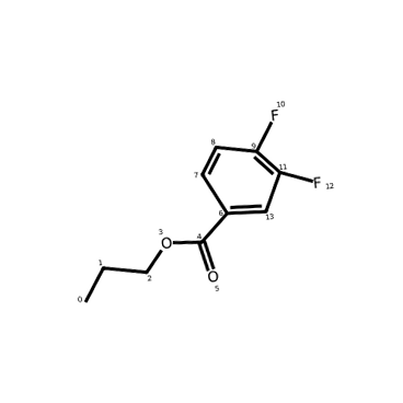 CCCOC(=O)c1ccc(F)c(F)c1